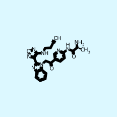 C#CCCNc1nonc1-c1nc2ccccc2n1CC(=O)c1ccc(NC(=O)[C@H](C)N)nc1